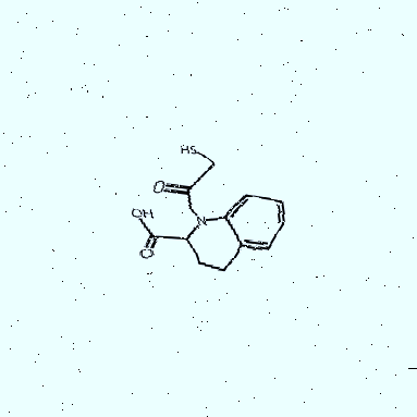 O=C(O)C1CCc2ccccc2N1C(=O)CS